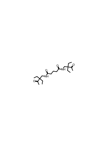 CCC(CC)(CNC(=O)CCCC(=O)NCC(CC)(CC)C(C)=O)C(C)=O